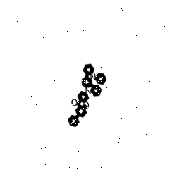 O=c1c2ccc(-n3c4ccccc4c4c3ccc3c5ccccc5n(-c5ccccc5)c34)cc2oc2ccc(-c3ccccc3)cc12